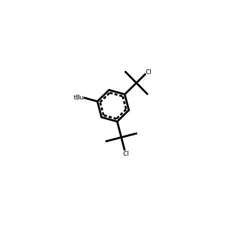 CC(C)(C)c1cc(C(C)(C)Cl)cc(C(C)(C)Cl)c1